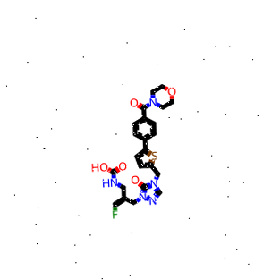 O=C(O)NC/C(=C/F)Cn1ncn(Cc2ccc(-c3ccc(C(=O)N4CCOCC4)cc3)s2)c1=O